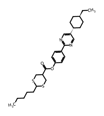 CCCCCC1SCC(C(=O)Oc2ccc(-c3ncc([C@H]4CC[C@H](CC)CC4)cn3)cc2)CS1